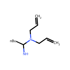 C=CCN(CC=C)C([NH])CCCC